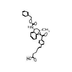 C[C@H]1C[C@@H](NC(=O)OCc2ccccc2)c2ccccc2N1C(=O)c1ccc(C=CCCC(=O)O)cc1